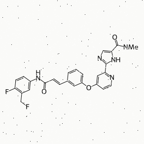 CNC(=O)c1cnc(-c2cc(Oc3cccc(/C=C/C(=O)Nc4ccc(F)c(CF)c4)c3)ccn2)[nH]1